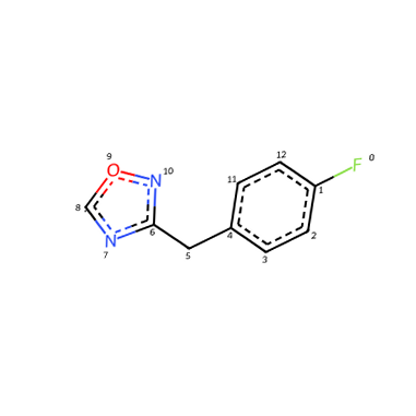 Fc1ccc(Cc2n[c]on2)cc1